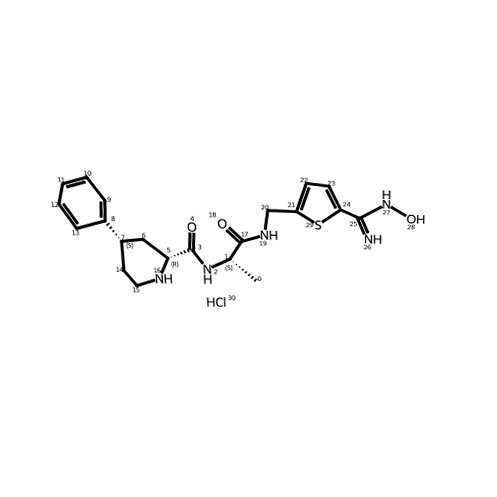 C[C@H](NC(=O)[C@H]1C[C@@H](c2ccccc2)CCN1)C(=O)NCc1ccc(C(=N)NO)s1.Cl